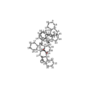 c1cc(-c2cccc3ccccc23)cc(N(c2ccccc2-c2ccc3c(c2)oc2ccccc23)c2ccccc2-n2c3ccccc3c3ccccc32)c1